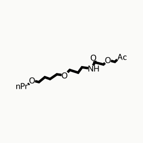 CCCOCCCCOCCCNC(=O)COCC(C)=O